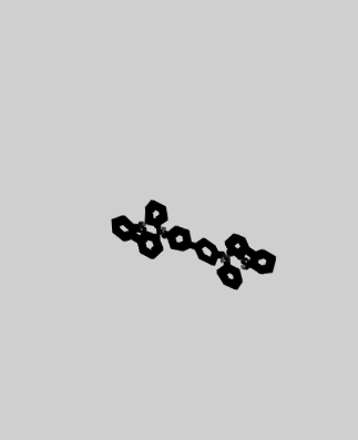 c1ccc(N(c2ccc(C3CCC(N(c4ccccc4)c4cccc5c4sc4ccccc45)CC3)cc2)c2cccc3c2sc2ccccc23)cc1